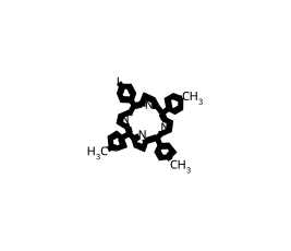 Cc1ccc(C2=C3C=CC(=N3)C(c3ccc(C)cc3)=C3C=CC(=N3)C(c3ccc(I)cc3)=C3C=CC(=N3)C(c3ccc(C)cc3)=C3C=CC2=N3)cc1